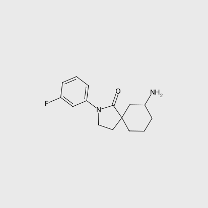 NC1CCCC2(CCN(c3cccc(F)c3)C2=O)C1